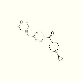 O=C(C1C=CC(CN2CCOCC2)=CC1)N1CCN(C2CC2)CC1